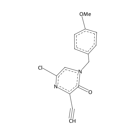 C#Cc1nc(Cl)cn(Cc2ccc(OC)cc2)c1=O